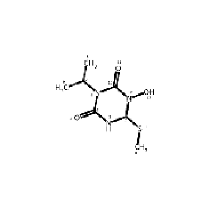 CSC1NC(=O)N(C(C)C)C(=O)N1O